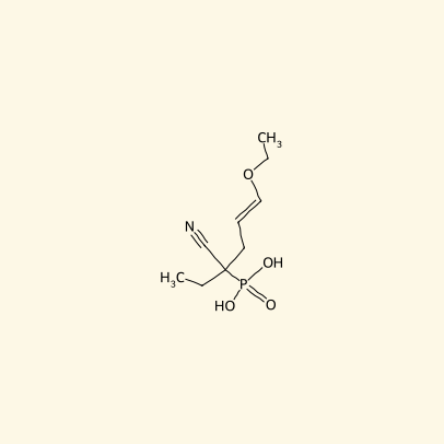 CCOC=CCC(C#N)(CC)P(=O)(O)O